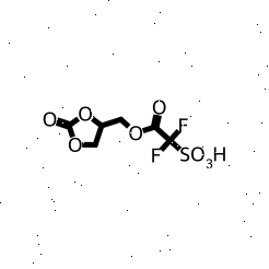 O=C1OCC(COC(=O)C(F)(F)S(=O)(=O)O)O1